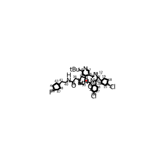 CCOc1cc(C(C)(C)C)ncc1C1=N[C@@](C)(c2ccc(Cl)cc2)[C@@](C)(c2ccc(Cl)cc2)N1C(=O)N1CCC(CC(=O)NCCc2ccc(F)cc2)CC1